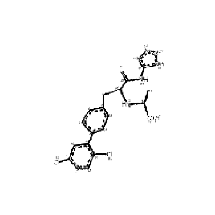 CC(N[C@@H](Cc1ccc(-c2cc(Cl)ccc2Cl)cc1)C(=O)Nc1nnn[nH]1)C(=O)O